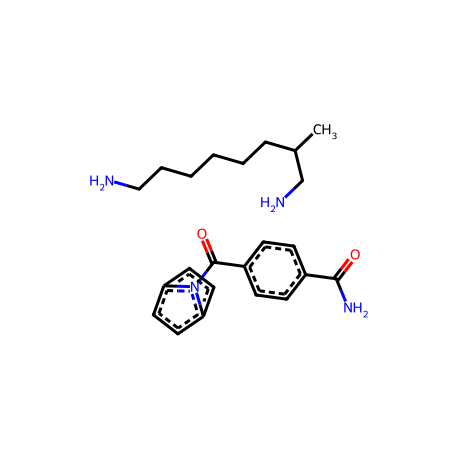 CC(CN)CCCCCCN.NC(=O)c1ccc(C(=O)n2c3ccc2cc3)cc1